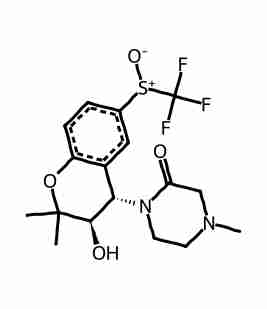 CN1CCN([C@H]2c3cc([S+]([O-])C(F)(F)F)ccc3OC(C)(C)[C@@H]2O)C(=O)C1